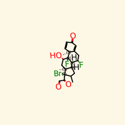 CC1C[C@H]2[C@@H]3C(F)CC4=CC(=O)C=C[C@]4(C)[C@@]3(F)C(O)C[C@]2(C)[C@@]1(Br)C(=O)C=O